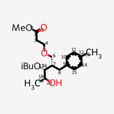 COC(=O)CCOC[C@H](Cc1ccc(C)cc1)[C@@H](OCC(C)C)[C@H](C)O